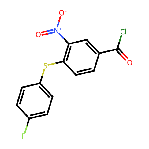 O=C(Cl)c1ccc(Sc2ccc(F)cc2)c([N+](=O)[O-])c1